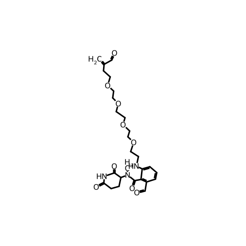 C=C(C=O)CCOCCOCCOCCOCCNc1cccc(C=O)c1C(=O)N(C)C1CCC(=O)NC1=O